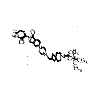 CC(C)(C)OC(=O)N1CCC2(CC1)CC(CN1CCN(c3ccc4c(c3)CN([C@H]3CCC(=O)NC3=O)C4=O)CC1)C2